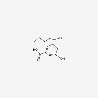 CCCCCCl.O=C(O)c1cccc(O)c1